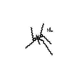 CCCCCCCCCCCCCCC#CC1=C(c2cc(CCCCCCCCC)cc(CCCCCCCCC)c2)[N+](=[N-])C(c2cc(CCCCCCCCC)cc(CCCCCCCCC)c2)=C1CCCC.C[CH2][Ni][CH2]C